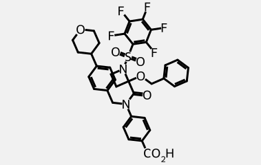 O=C(O)c1ccc(N(Cc2ccc(C3CCOCC3)cc2)C(=O)C2(OCc3ccccc3)CCN2S(=O)(=O)c2c(F)c(F)c(F)c(F)c2F)cc1